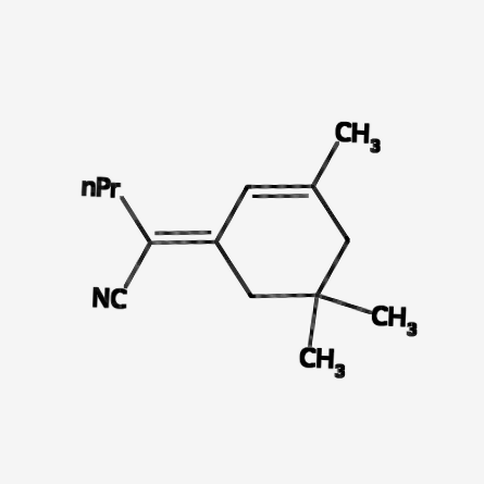 CCC/C(C#N)=C1\C=C(C)CC(C)(C)C1